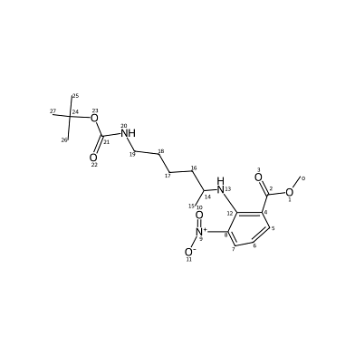 COC(=O)c1cccc([N+](=O)[O-])c1NC(C)CCCCNC(=O)OC(C)(C)C